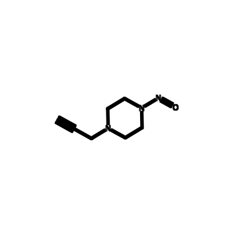 C#CCN1CCN(N=O)CC1